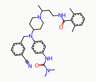 Cc1cccc(C)c1C(=O)NCCC(C)N1CCC(N(Cc2cccc(C#N)c2)c2ccc(NC(=O)N(C)C)cc2)CC1